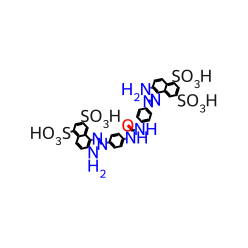 Nc1ccc2c(S(=O)(=O)O)cc(S(=O)(=O)O)cc2c1N=Nc1ccc(NC(=O)Nc2ccc(N=Nc3c(N)ccc4c(S(=O)(=O)O)cc(S(=O)(=O)O)cc34)cc2)cc1